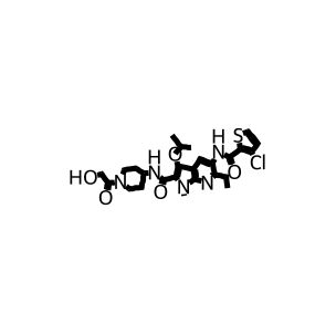 CCc1nc2c(cc1NC(=O)c1sccc1Cl)c(OC(C)C)c(C(=O)NC1CCN(C(=O)CO)CC1)n2C